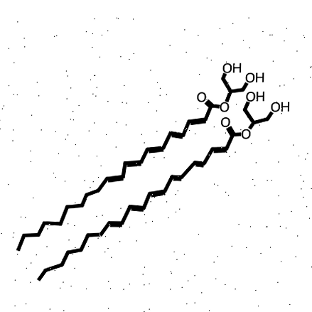 CCCCCCC/C=C/C=C/C=C/C=C/C=C/C=C/C(=O)OC(CO)CO.CCCCCCCCC/C=C/C=C/C=C/C=C/C=C/C(=O)OC(CO)CO